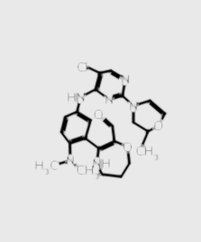 CC1CN(c2ncc(Cl)c(Nc3ccc(N(C)C)c(C4=C(C=O)OCCCN4)c3)n2)C=CO1